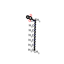 CC(C)=CCC/C(C)=C/CC/C(C)=C/CC/C(C)=C/CC/C(C)=C/CC/C(C)=C/CC/C(C)=C/CC1(C)CC(=O)c2ccccc2C1=O